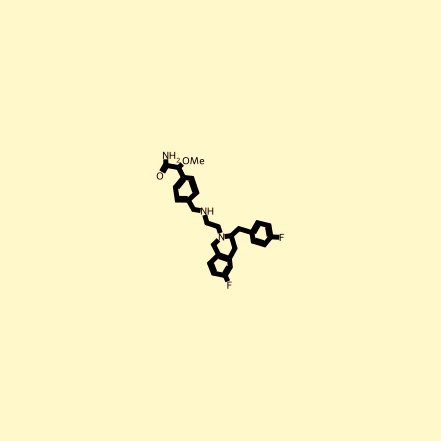 COC(C(N)=O)c1ccc(CNCCN2Cc3ccc(F)cc3CC2Cc2ccc(F)cc2)cc1